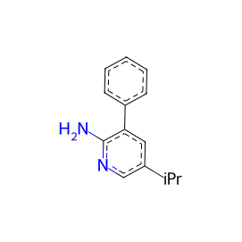 CC(C)c1cnc(N)c(-c2ccccc2)c1